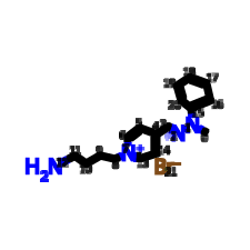 CN(/N=C/c1cc[n+](CCCCN)cc1)c1ccccc1.[Br-]